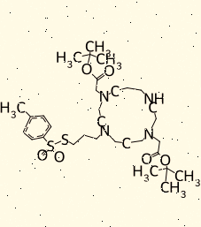 Cc1ccc(S(=O)(=O)SCCCN2CCCN(CC(=O)OC(C)(C)C)CCNCCCN(CC(=O)OC(C)(C)C)CC2)cc1